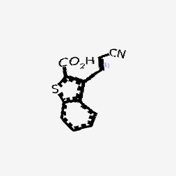 N#C/C=C/c1c(C(=O)O)sc2ccccc12